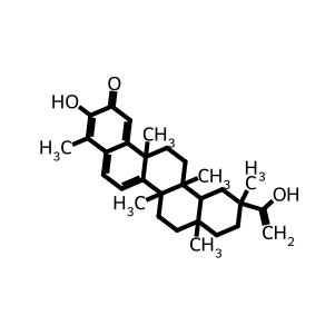 C=C(O)C1(C)CCC2(C)CCC3(C)C4=CC=C5C(=CC(=O)C(O)=C5C)C4(C)CCC3(C)C2C1